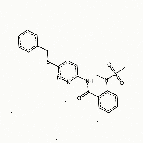 CN(c1ccccc1C(=O)Nc1ccc(SCc2ccccc2)nn1)S(C)(=O)=O